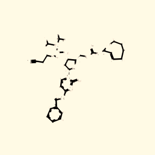 CC(C)N(C(C)C)P(OCCC#N)O[C@H]1C[C@H](n2ccc(NC(=O)c3ccccc3)nc2=O)O[C@@H]1COC(=O)OC1/C=C/CCCCC1